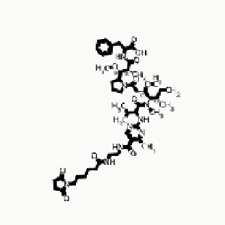 CC[C@H](C)[C@@H]([C@@H](CC(=O)N1CCCC1[C@H](OC)[C@@H](C)C(=O)NC(Cc1ccccc1)C(=O)O)OC)N(C)C(=O)C(Nc1ncc(C(=O)NCCNC(=O)CCCCCN2C(=O)C=CC2=O)c(C)n1)C(C)C